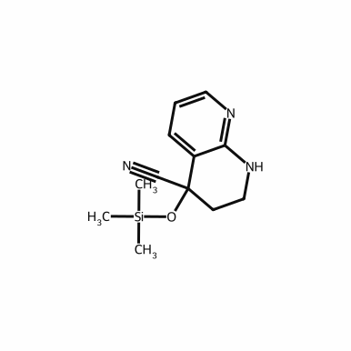 C[Si](C)(C)OC1(C#N)CCNc2ncccc21